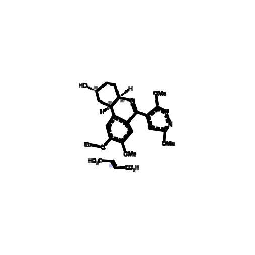 CCOc1cc2c(cc1OC)C(c1cc(OC)nnc1OC)=N[C@@H]1CC[C@@H](O)C[C@H]21.O=C(O)/C=C/C(=O)O